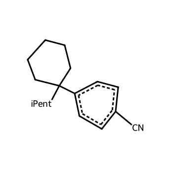 CCCC(C)C1(c2ccc(C#N)cc2)CCCCC1